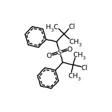 CC(C)(Cl)C(c1ccccc1)S(=O)(=O)C(c1ccccc1)C(C)(C)Cl